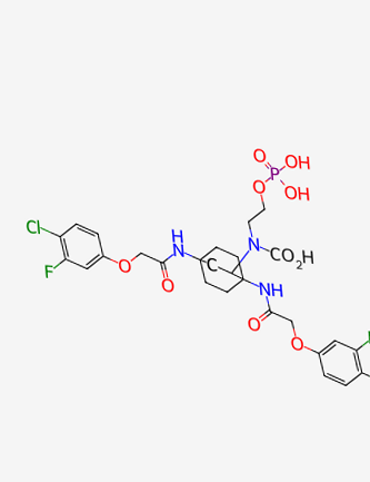 O=C(COc1ccc(Cl)c(F)c1)NC12CCC(NC(=O)COc3ccc(Cl)c(F)c3)(CC1)C(N(CCOP(=O)(O)O)C(=O)O)C2